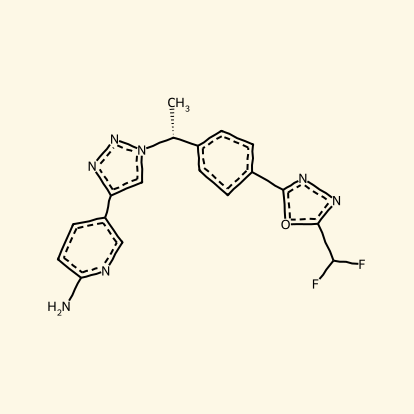 C[C@H](c1ccc(-c2nnc(C(F)F)o2)cc1)n1cc(-c2ccc(N)nc2)nn1